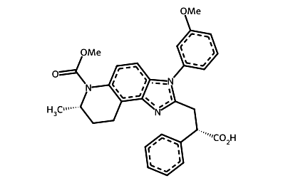 COC(=O)N1c2ccc3c(nc(C[C@H](C(=O)O)c4ccccc4)n3-c3cccc(OC)c3)c2CC[C@@H]1C